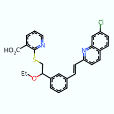 CCOC(CSc1ncccc1C(=O)O)c1cccc(/C=C/c2ccc3ccc(Cl)cc3n2)c1